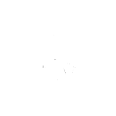 C[C@@H](CCBr)[C@H]1CNCC1c1[nH]ncc1C#N